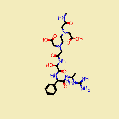 CNC(=O)CN(CCN(CC(=O)O)CC(=O)NC(O)C(=O)NC(C(=O)NC(C)NC(=N)N)c1ccccc1)CC(=O)O